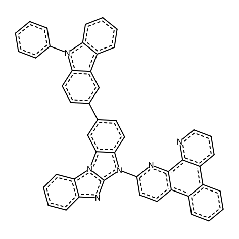 c1ccc(-n2c3ccccc3c3cc(-c4ccc5c(c4)n4c6ccccc6nc4n5-c4ccc5c6ccccc6c6cccnc6c5n4)ccc32)cc1